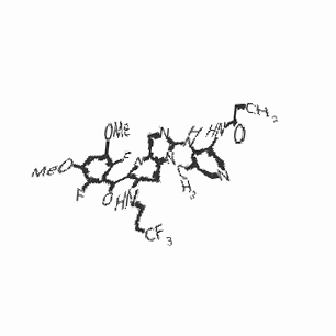 C=CC(=O)Nc1cncc(C)c1Nc1ncc2nc(C(=O)c3c(F)c(OC)cc(OC)c3F)c(NCCC(F)(F)F)cc2n1